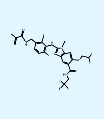 C=C(C)C(=O)NCc1ccc(F)c(Nc2nc3cc(C(=O)NCC(F)(F)F)c(OCC(F)F)cc3n2C)c1F